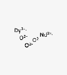 [Dy+3].[Nd+3].[O-2].[O-2].[O-2]